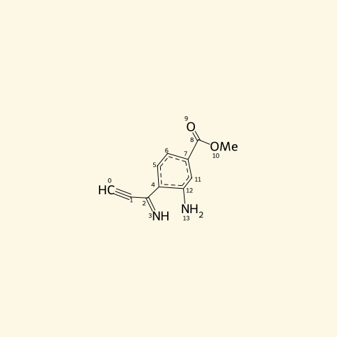 C#CC(=N)c1ccc(C(=O)OC)cc1N